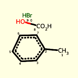 Br.Cc1ccccc1.O=C(O)O